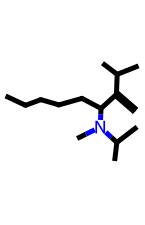 C=C(C(C)C)C(CCCCC)N(C)C(C)C